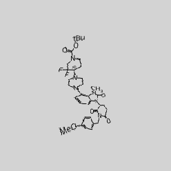 COc1ccc(CN2C(=O)CCC(n3c(=O)n(C)c4c(N5CCN([C@@H]6CCN(C(=O)OC(C)(C)C)CC6(F)F)CC5)cccc43)C2=O)cc1